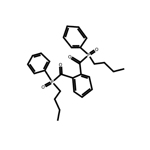 CCCCP(=O)(C(=O)c1ccccc1C(=O)P(=O)(CCCC)c1ccccc1)c1ccccc1